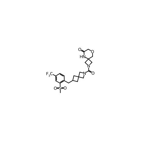 CS(=O)(=O)c1cc(C(F)(F)F)ccc1CC1CC2(C1)CN(C(=O)N1CC3(COCC(=O)N3)C1)C2